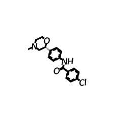 CN1CCO[C@H](c2ccc(NC(=O)c3ccc(Cl)cc3)cc2)C1